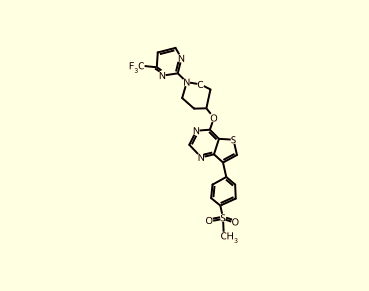 CS(=O)(=O)c1ccc(-c2csc3c(OC4CCN(c5nccc(C(F)(F)F)n5)CC4)ncnc23)cc1